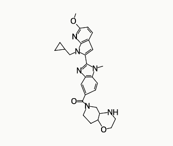 COc1ccc2cc(-c3nc4cc(C(=O)N5CCC6OCCNC6C5)ccc4n3C)n(CC3CC3)c2n1